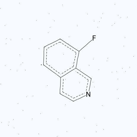 Fc1cc[c]c2ccncc12